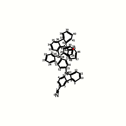 N#Cc1ccc2c(c1)c1ccccc1n2-c1ccc([Si](c2ccccc2)(c2ccccc2)c2cccc3c4ccccc4n(-c4ccccc4)c23)cc1